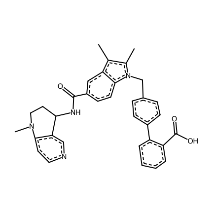 Cc1c(C)n(Cc2ccc(-c3ccccc3C(=O)O)cc2)c2ccc(C(=O)NC3CCN(C)c4ccncc43)cc12